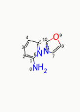 Nc1ccccn1.c1cocn1